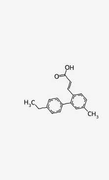 CCc1ccc(-c2cc(C)ccc2C=CC(=O)O)cc1